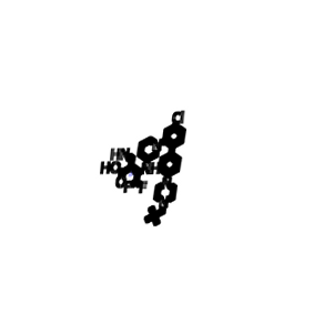 CC(C)(C)CN1CCN(c2ccc(-c3ccc(Cl)cc3N3CCCC(N/C(=C(\C=N)C(=O)O)C(F)F)C3)cc2)CC1